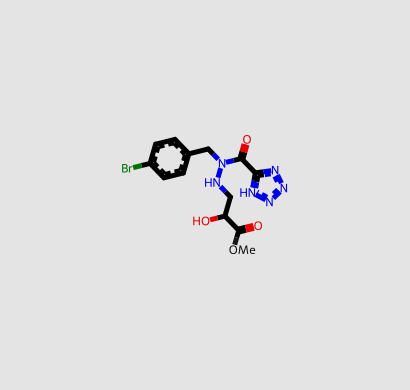 COC(=O)C(O)CNN(Cc1ccc(Br)cc1)C(=O)c1nnn[nH]1